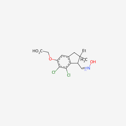 CCC1(C)Cc2cc(OCC(=O)O)c(Cl)c(Cl)c2C1/C=N\O